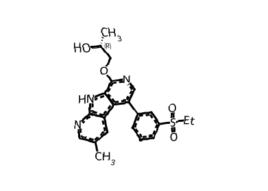 CCS(=O)(=O)c1cccc(-c2cnc(OC[C@@H](C)O)c3[nH]c4ncc(C)cc4c23)c1